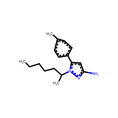 CCCCCC(C)n1nc(N)cc1-c1ccc(C)cc1